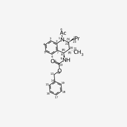 CC(=O)N1c2ccccc2[C@H](NC(=O)OCc2ccccc2)[C@@H](C)[C@@H]1C(C)C